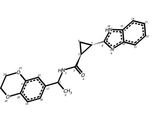 CC(NC(=O)[C@H]1C[C@@H]1c1nc2ccccc2[nH]1)c1ccc2c(c1)OCCO2